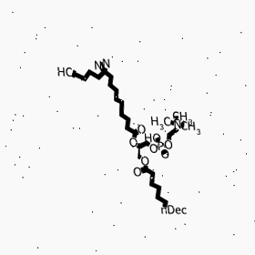 C#CCCCC1(CCCCCCCCC(=O)O[C@H](COC(=O)CCCCCCCCCCCCCCC)COP(=O)(O)OCC[N+](C)(C)C)N=N1